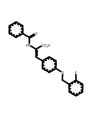 O=C(O)/C(=C\c1ccc(OCc2ccccc2F)cc1)NC(=O)c1ccccc1